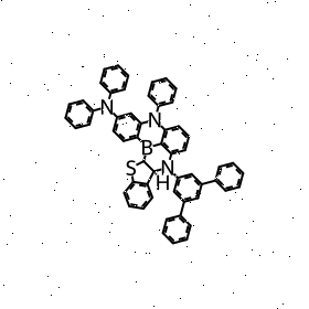 c1ccc(-c2cc(-c3ccccc3)cc(N3c4cccc5c4B(c4ccc(N(c6ccccc6)c6ccccc6)cc4N5c4ccccc4)C4Sc5ccccc5[C@@H]43)c2)cc1